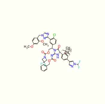 COc1ccc(Cn2cnc(-c3cc(C(COC(=O)N4CC(F)(F)C4)N4C(=O)[C@@](CC(C)(C)C)(c5ccc(-c6cnn(C(F)F)c6)cc5)NC4=NC(=O)OCc4ccccc4)ccc3Cl)n2)c(OC)c1